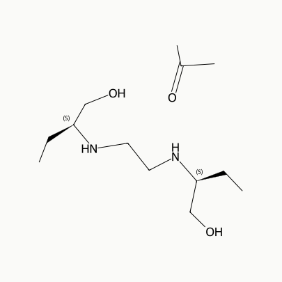 CC(C)=O.CC[C@@H](CO)NCCN[C@@H](CC)CO